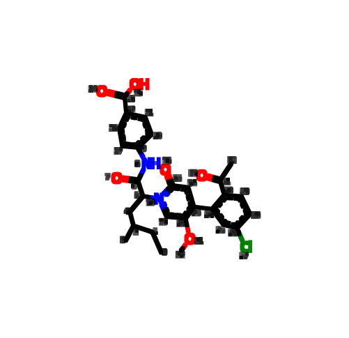 CCC(C)CC(C(=O)Nc1ccc(C(=O)O)cc1)n1cc(OC)c(-c2cc(Cl)ccc2C(C)=O)cc1=O